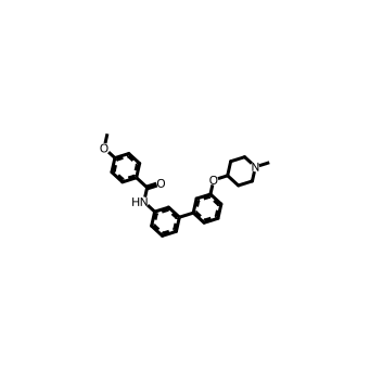 COc1ccc(C(=O)Nc2cccc(-c3cccc(OC4CCN(C)CC4)c3)c2)cc1